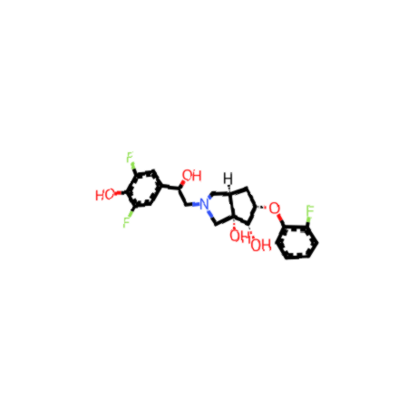 Oc1c(F)cc(C(O)CN2C[C@H]3C[C@H](Oc4ccccc4F)[C@H](O)[C@@]3(O)C2)cc1F